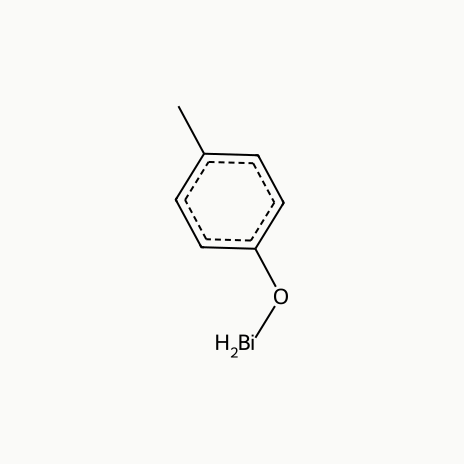 Cc1ccc([O][BiH2])cc1